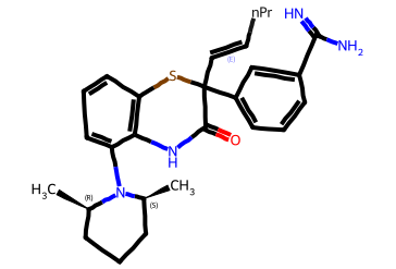 CCC/C=C/C1(c2cccc(C(=N)N)c2)Sc2cccc(N3[C@H](C)CCC[C@@H]3C)c2NC1=O